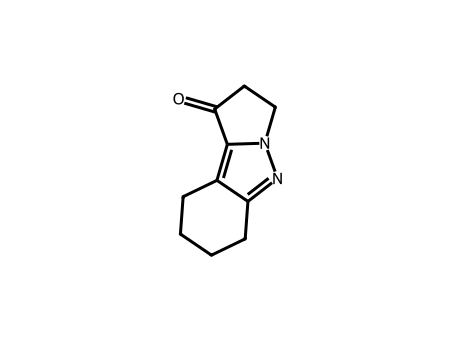 O=C1CCn2nc3c(c21)CCCC3